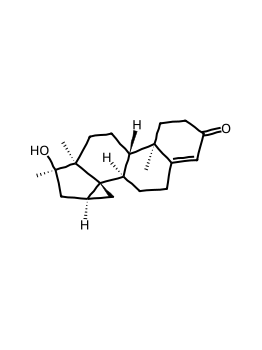 C[C@]12CC[C@H]3[C@@H](CCC4=CC(=O)CC[C@@]43C)[C@@]13C[C@H]3C[C@@]2(C)O